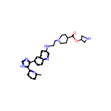 Cc1cccc(-c2[nH]cnc2-c2ccc3ncc(NCCN4CCC(C(=O)OC5CNC5)CC4)cc3c2)n1